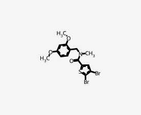 COc1ccc(CN(C)C(=O)c2cc(Br)c(Br)s2)c(OC)c1